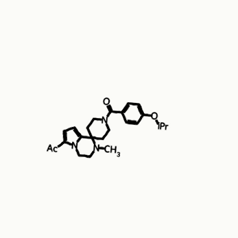 CC(=O)c1ccc2n1CCN(C)C21CCN(C(=O)c2ccc(OC(C)C)cc2)CC1